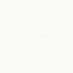 CCOc1ccc(C(=O)N2C(C)=[C]C3=C(Cl)C(O)=CCC32)s1